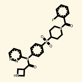 O=C(c1ccccc1F)N1CCC(S(=O)(=O)c2ccc(N(C(=O)C3CNC3)c3cccnn3)cc2)CC1